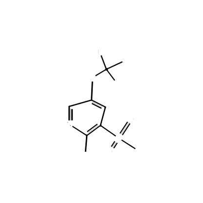 Cc1ncc(SC(F)(F)F)cc1S(C)(=O)=O